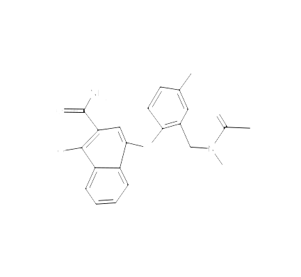 CC(=O)N(C)Cc1cc(C)ccc1Oc1cc(C(N)=O)c(O)c2ccccc12